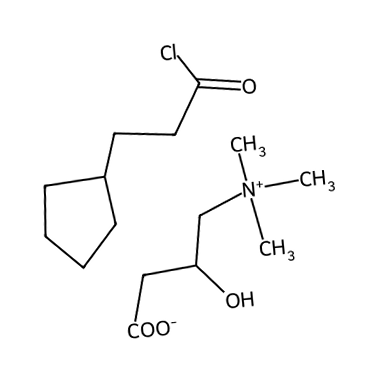 C[N+](C)(C)CC(O)CC(=O)[O-].O=C(Cl)CCC1CCCC1